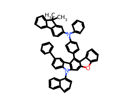 CC1(C)c2ccccc2-c2ccc(N(c3ccccc3)c3ccc(-c4c5c(cc6c4c4cc(-c7ccccc7)ccc4n6-c4cccc6ccccc46)oc4ccccc45)cc3)cc21